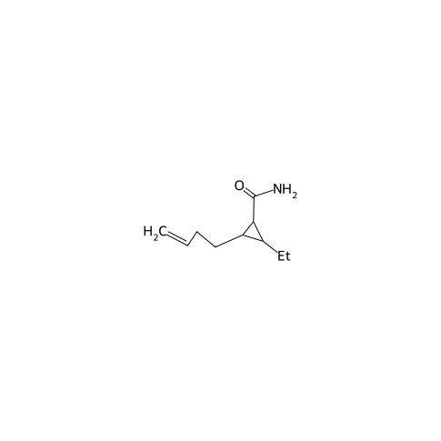 C=CCCC1C(CC)C1C(N)=O